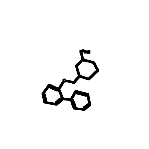 CCCCCN1CCCC(COc2ccccc2-c2ccccc2)C1